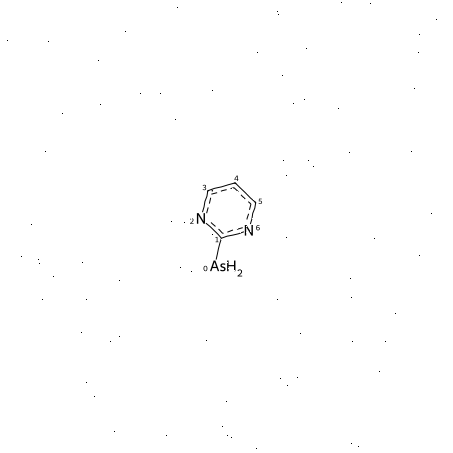 [AsH2]c1n[c]ccn1